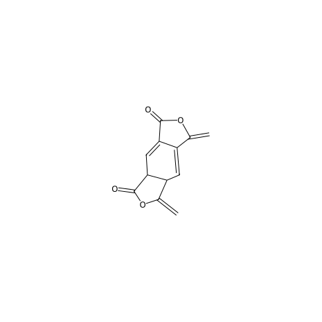 C=C1OC(=O)C2=CC3C(=O)OC(=C)C3C=C12